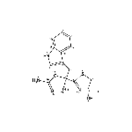 CC1(O)CSC(C(Cc2c[nH]c3ccccc23)(OC(N)=O)C(C)(C)C)=N1